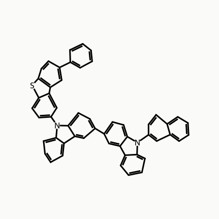 c1ccc(-c2ccc3sc4ccc(-n5c6ccccc6c6cc(-c7ccc8c(c7)c7ccccc7n8-c7ccc8ccccc8c7)ccc65)cc4c3c2)cc1